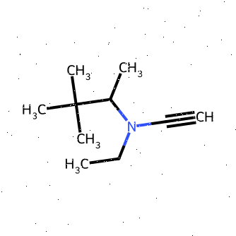 C#CN(CC)C(C)C(C)(C)C